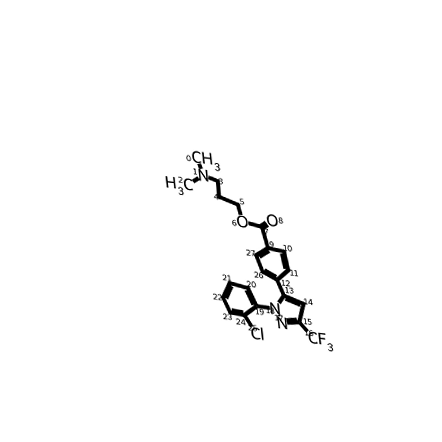 CN(C)CCCOC(=O)c1ccc(-c2cc(C(F)(F)F)nn2-c2ccccc2Cl)cc1